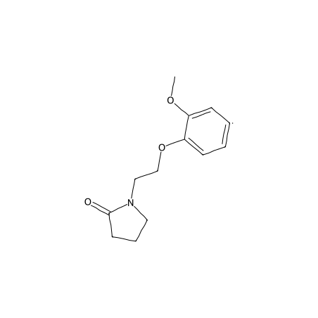 COc1c[c]ccc1OCCN1CCCC1=O